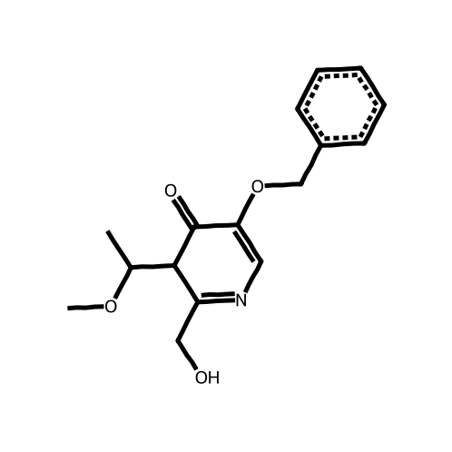 COC(C)C1C(=O)C(OCc2ccccc2)=CN=C1CO